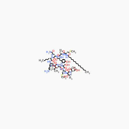 CCCCCCCCCCCCCCCC(=O)N[C@@H](CCSC)C(=O)N[C@@H](C)C(=O)N[C@@H](Cc1ccc(O)cc1)C(=O)N[C@@H](CCC(N)=O)C(=O)N[C@@H](CCCCC)C(=O)N[C@@H](CCCCN)C(=O)N[C@@H](CC(C)C)C(=O)N[C@@H](CCCC)C(=O)N[C@@H](CO)C(=O)N[C@@H](CCSC)C(=O)N[C@H](C(=O)N[C@@H](CC(=O)O)C(C)=O)[C@@H](C)O